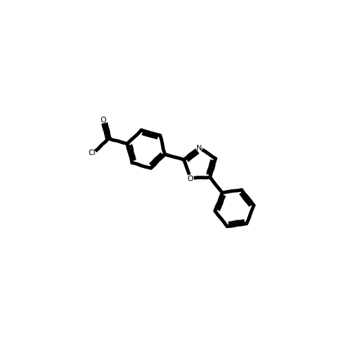 O=C(Cl)c1ccc(-c2ncc(-c3ccccc3)o2)cc1